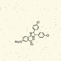 CCOc1cc(OC)ccc1C1=NC(c2ccc(Cl)cc2)C(c2ccc(Cl)cc2)N1